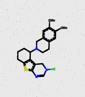 COc1cc2c(cc1OC)CN(C1CCCc3sc4c(c31)CN(Cl)C=N4)CC2